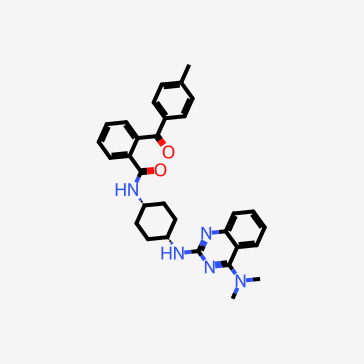 Cc1ccc(C(=O)c2ccccc2C(=O)N[C@H]2CC[C@@H](Nc3nc(N(C)C)c4ccccc4n3)CC2)cc1